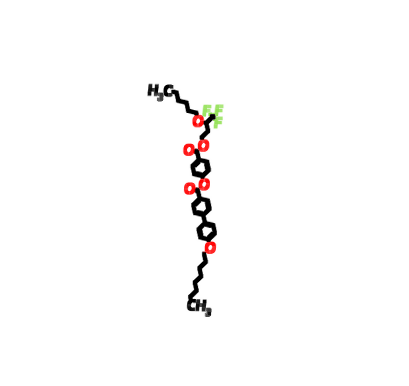 CCCCCCCCOc1ccc(-c2ccc(C(=O)Oc3ccc(C(=O)OCCC(OCCCCCC)C(F)(F)F)cc3)cc2)cc1